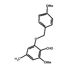 COc1ccc(COc2cc(C)cc(OC)c2C=O)cc1